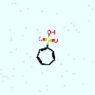 O=S(=O)(O)C1=CC=CCC=C1